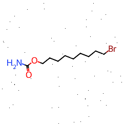 NC(=O)OCCCCCCCCCBr